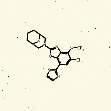 FC(F)(F)Oc1c(Cl)cc(-c2nccs2)c2oc(N3CC4CCCC(C3)N4)nc12